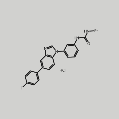 CCNC(=O)Nc1cccc(-n2cnc3cc(-c4ccc(F)cc4)ccc32)c1.Cl